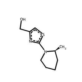 C[C@H]1CCCCN1c1nc(CO)cs1